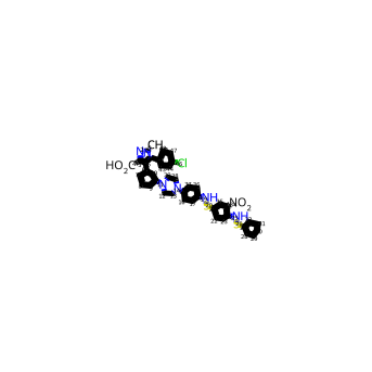 Cn1nc(C(=O)O)c(-c2cccc(N3CCN(c4ccc(NSc5ccc(NSc6ccccc6)c([N+](=O)[O-])c5)cc4)CC3)c2)c1-c1ccc(Cl)cc1